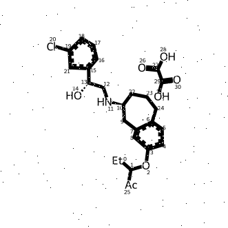 CCC(Oc1ccc2c(c1)C[C@@H](NC[C@H](O)c1cccc(Cl)c1)CCC2)C(C)=O.O=C(O)C(=O)O